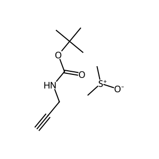 C#CCNC(=O)OC(C)(C)C.C[S+](C)[O-]